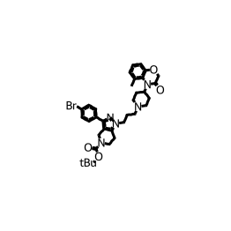 Cc1cccc2c1N(C1CCN(CCCn3nc(-c4ccc(Br)cc4)c4c3CCN(C(=O)OC(C)(C)C)C4)CC1)C(=O)CO2